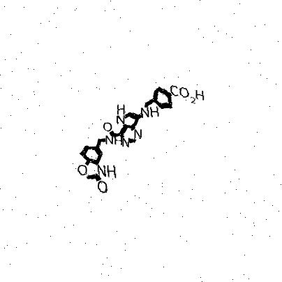 O=C1COc2ccc(CNC(=O)c3ncnc4c(NCc5ccc(C(=O)O)cc5)c[nH]c34)cc2N1